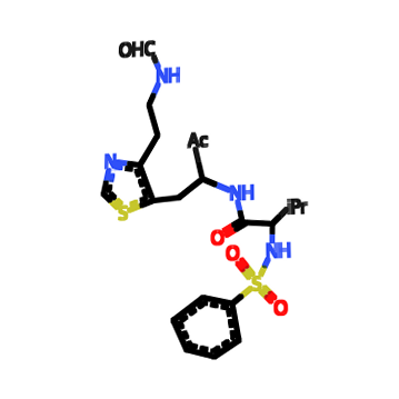 CC(=O)C(Cc1scnc1CCNC=O)NC(=O)C(NS(=O)(=O)c1ccccc1)C(C)C